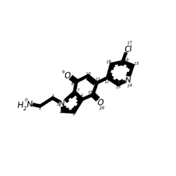 NCCn1ccc2c1C(=O)C=C(c1cncc(Cl)c1)C2=O